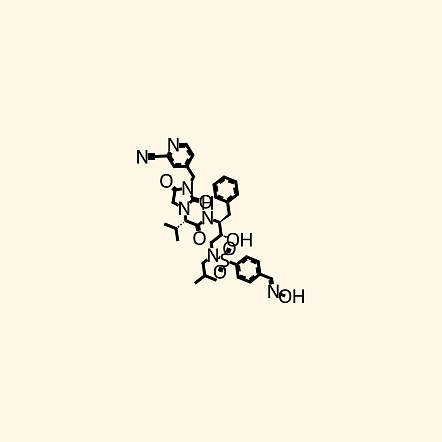 CC(C)CN(C[C@@H](O)[C@H](Cc1ccccc1)NC(=O)[C@H](C(C)C)N1CC(=O)N(Cc2ccnc(C#N)c2)C1=O)S(=O)(=O)c1ccc(/C=N/O)cc1